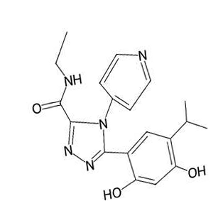 CCNC(=O)c1nnc(-c2cc(C(C)C)c(O)cc2O)n1-c1ccncc1